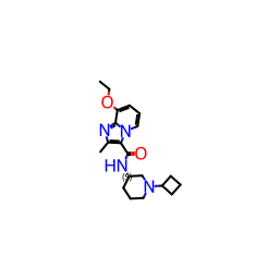 CCOc1cccn2c(C(=O)N[C@H]3CCCN(C4CCC4)C3)c(C)nc12